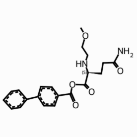 COCCN[C@@H](CCC(N)=O)C(=O)OC(=O)c1ccc(-c2ccccc2)cc1